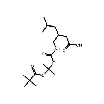 CC(C)CC(CNC(=O)OC(C)(C)OC(=O)C(C)(C)C)CC(=O)O